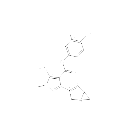 Cn1nc(C2=CC3CC3C2)c(C(=O)Nc2ccc(F)c(Cl)c2)c1N